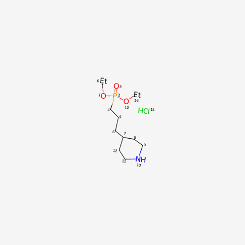 CCOP(=O)(CCCC1CCNCC1)OCC.Cl